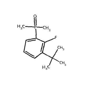 CC(C)(C)c1cccc(P(C)(C)=O)c1F